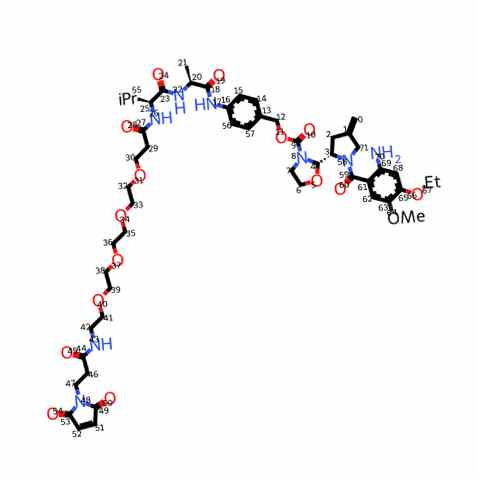 C=C1C[C@@H](C2OCCN2C(=O)OCc2ccc(NC(=O)[C@H](C)NC(=O)[C@@H](NC(=O)CCOCCOCCOCCOCCNC(=O)CCN3C(=O)C=CC3=O)C(C)C)cc2)N(C(=O)c2cc(OC)c(OCC)cc2N)C1